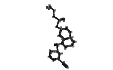 C#Cc1cccc(Nc2ncnc3ccc(CC(=O)CCN)cc23)c1